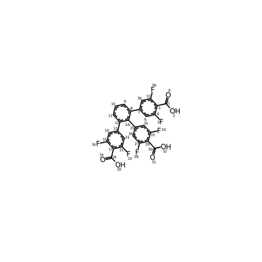 O=C(O)c1c(F)cc(-c2cccc(-c3cc(F)c(C(=O)O)c(F)c3)c2-c2cc(F)c(C(=O)O)c(F)c2)cc1F